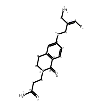 NC/C(=C/F)COc1ccc2c(c1)CCN(CCC(N)=O)C2=O